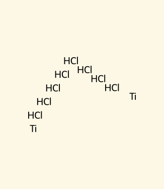 Cl.Cl.Cl.Cl.Cl.Cl.Cl.Cl.[Ti].[Ti]